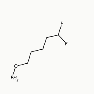 FC(F)CCCCOP